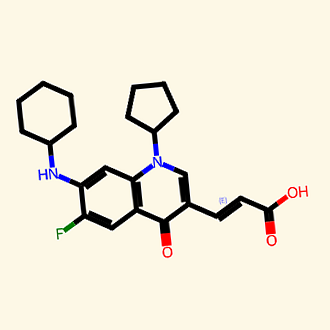 O=C(O)/C=C/c1cn(C2CCCC2)c2cc(NC3CCCCC3)c(F)cc2c1=O